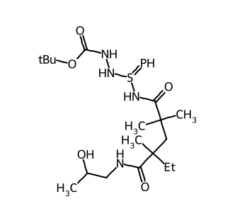 CCC(C)(CC(C)(C)C(=O)NS(=P)NNC(=O)OC(C)(C)C)C(=O)NCC(C)O